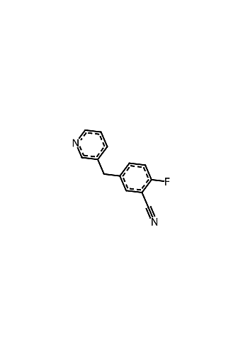 N#Cc1cc(Cc2cccnc2)ccc1F